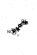 Cc1ncsc1C(=O)NCc1ccc(-c2c(C)nn(-c3cnc(C#N)c(C(F)(F)F)c3)c2C)cc1F